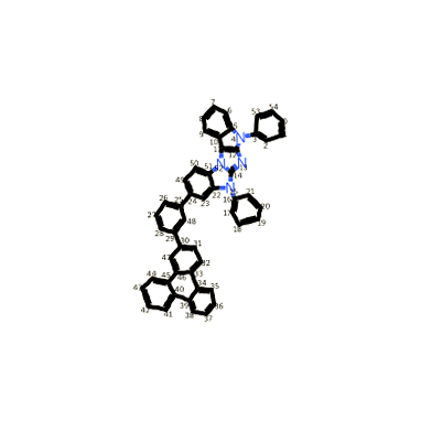 c1ccc(-n2c3ccccc3c3c2nc2n(-c4ccccc4)c4cc(-c5cccc(-c6ccc7c8ccccc8c8ccccc8c7c6)c5)ccc4n32)cc1